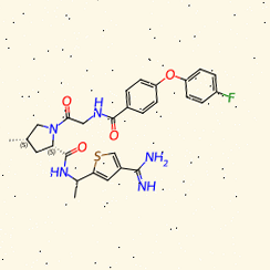 CC(NC(=O)[C@@H]1C[C@H](C)CN1C(=O)CNC(=O)c1ccc(Oc2ccc(F)cc2)cc1)c1cc(C(=N)N)cs1